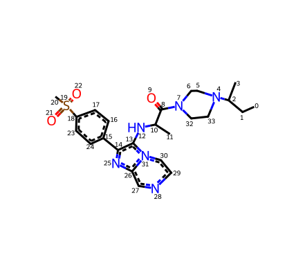 CCC(C)N1CCN(C(=O)C(C)Nc2c(-c3ccc(S(C)(=O)=O)cc3)nc3cnccn23)CC1